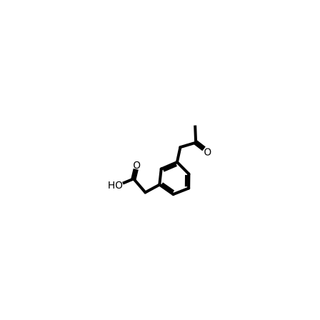 CC(=O)Cc1cccc(CC(=O)O)c1